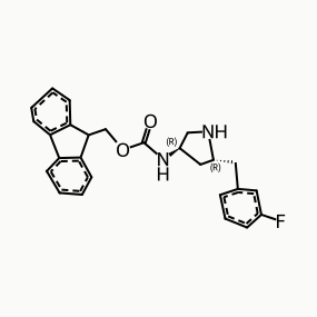 O=C(N[C@H]1CN[C@H](Cc2cccc(F)c2)C1)OCC1c2ccccc2-c2ccccc21